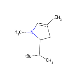 CC1=CN(C)C(C(C)C(C)(C)C)C1